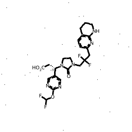 O=C(O)C[C@@H](c1cnc(OC(F)F)nc1)N1CCN(CC(F)(F)Cc2ccc3c(n2)NCCC3)C1=O